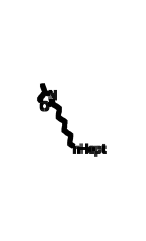 CCCCCCCCCCCCCC1=NC(C)CO1